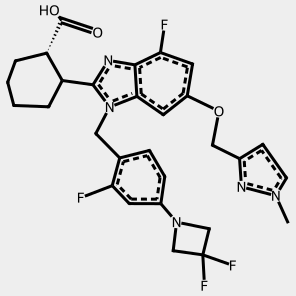 Cn1ccc(COc2cc(F)c3nc(C4CCCC[C@@H]4C(=O)O)n(Cc4ccc(N5CC(F)(F)C5)cc4F)c3c2)n1